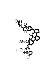 COc1nc(-c2cccc(-c3cccc(-c4ccn5c(=O)c(CNCCO)cnc5c4)c3Cl)c2Cl)ccc1CN(C[C@@H]1CCC(=O)N1)C(=O)O